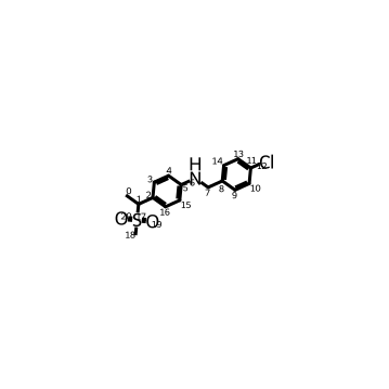 CC(c1ccc(NCc2ccc(Cl)cc2)cc1)S(C)(=O)=O